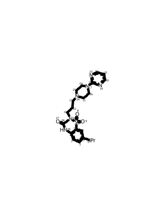 CC(C)c1ccc2c(c1)S(=O)(=O)N(CCCN1CCN(c3ncccn3)CC1)C(=O)N2